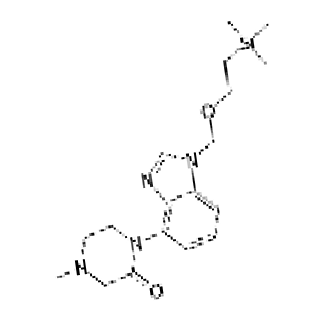 CN1CCN(c2cccc3c2ncn3COCC[Si](C)(C)C)C(=O)C1